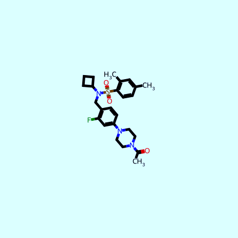 CC(=O)N1CCN(c2ccc(CN(C3CCC3)S(=O)(=O)c3ccc(C)cc3C)c(F)c2)CC1